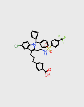 O=C(O)c1ccc(CCCc2c(CCNS(=O)(=O)c3ccc(C(F)(F)F)cc3)n(C(c3ccccc3)c3ccccc3)c3ccc(Cl)cc23)cc1